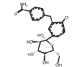 NC(=O)c1ccc(Cc2cc([C@@]3(O)O[C@H](CO)[C@@H](O)[C@H](O)[C@H]3O)ccc2Cl)cc1